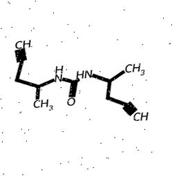 C#CCC(C)NC(=O)NC(C)CC#C